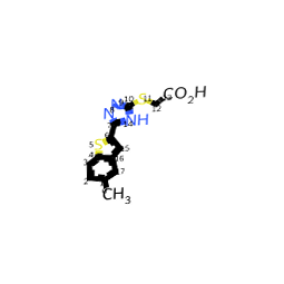 Cc1ccc2sc(-c3nnc(SCC(=O)O)[nH]3)cc2c1